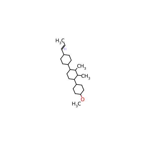 C/C=C/C1CCC(C2CCC(C3CCC(OC)CC3)C(C)C2C)CC1